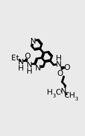 CCNC(=O)Nc1cc2c(-c3ccncc3)ccc(CNC(=O)OCCCN(C)C)c2cn1